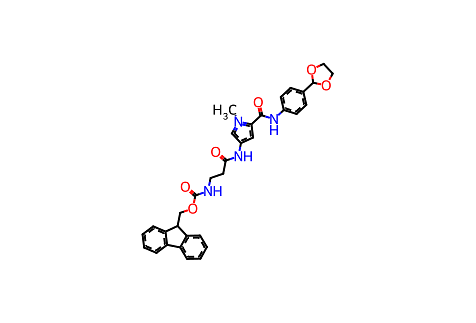 Cn1cc(NC(=O)CCNC(=O)OCC2c3ccccc3-c3ccccc32)cc1C(=O)Nc1ccc(C2OCCO2)cc1